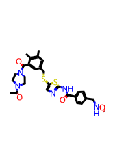 CONCc1ccc(C(=O)Nc2ncc(SCc3cc(C)c(C)c(C(=O)N4CCN(C(C)=O)CC4)c3)s2)cc1